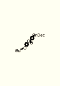 CCCCCCCCCCOc1ccc(C(=O)Oc2ccc(OCCC[C@@H](C)CC)cc2)cc1